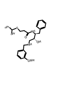 CCCC(CCC)SCCC(=O)N[C@@H](Cc1ccccc1)[C@H](O)CNCc1cccc(OC)c1